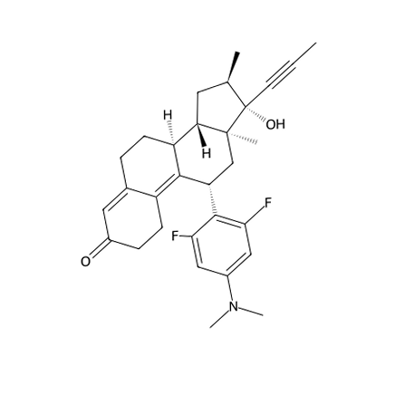 CC#C[C@]1(O)[C@H](C)C[C@H]2[C@@H]3CCC4=CC(=O)CCC4=C3[C@@H](c3c(F)cc(N(C)C)cc3F)C[C@@]21C